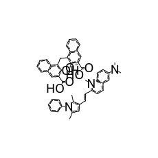 Cc1cc(/C=C/c2ccc3cc(N(C)C)ccc3[n+]2C)c(C)n1-c1ccccc1.O=C(O)c1cc2ccccc2c(Cc2c(O)c(C(=O)O)cc3ccccc23)c1[O-]